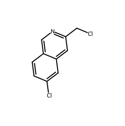 ClCc1cc2cc(Cl)ccc2cn1